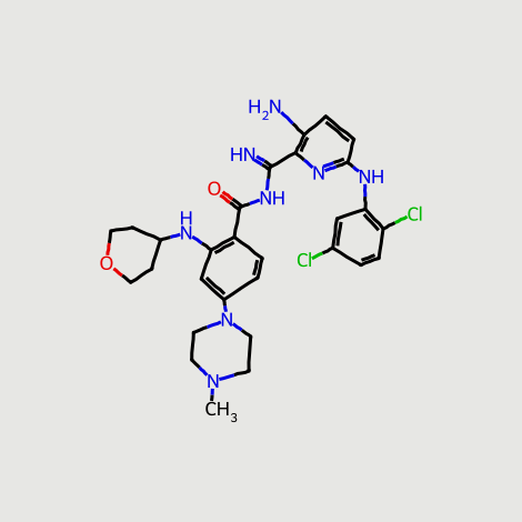 CN1CCN(c2ccc(C(=O)NC(=N)c3nc(Nc4cc(Cl)ccc4Cl)ccc3N)c(NC3CCOCC3)c2)CC1